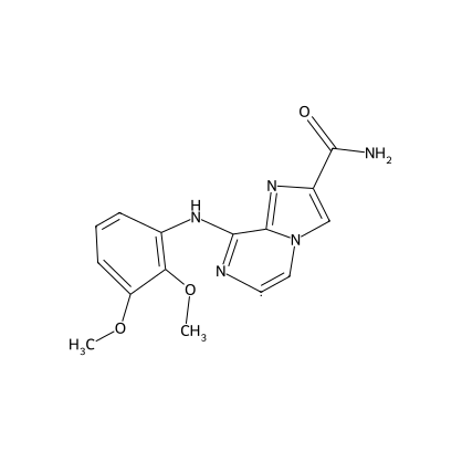 COc1cccc(Nc2n[c]cn3cc(C(N)=O)nc23)c1OC